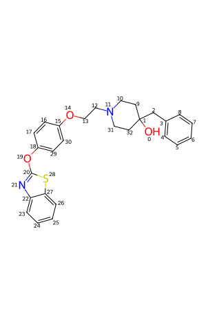 OC1(Cc2ccccc2)CCN(CCOc2ccc(Oc3nc4ccccc4s3)cc2)CC1